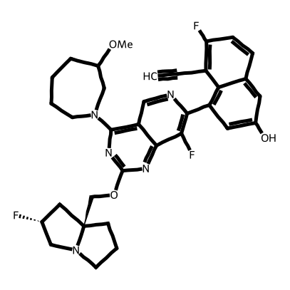 C#Cc1c(F)ccc2cc(O)cc(-c3ncc4c(N5CCCCC(OC)C5)nc(OC[C@@]56CCCN5C[C@H](F)C6)nc4c3F)c12